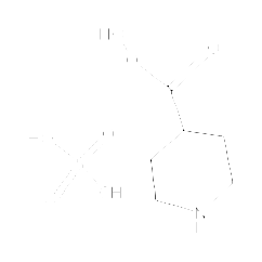 CS(=O)(=O)O.O=C(OO)C1CCNCC1